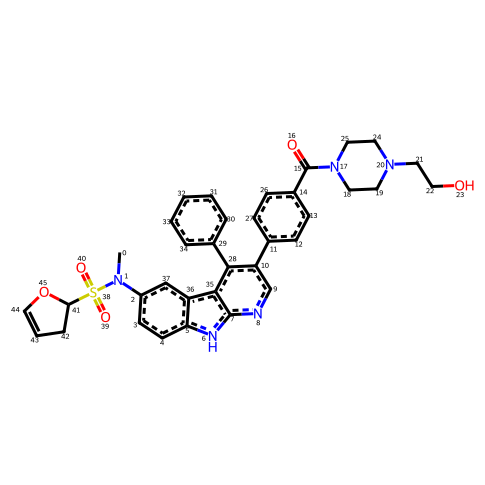 CN(c1ccc2[nH]c3ncc(-c4ccc(C(=O)N5CCN(CCO)CC5)cc4)c(-c4ccccc4)c3c2c1)S(=O)(=O)C1CC=CO1